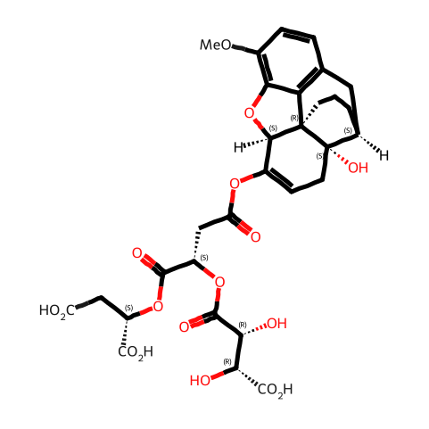 COc1ccc2c3c1O[C@@H]1C(OC(=O)C[C@H](OC(=O)[C@H](O)[C@@H](O)C(=O)O)C(=O)O[C@@H](CC(=O)O)C(=O)O)=CC[C@]4(O)[C@@H](CCC[C@@]314)C2